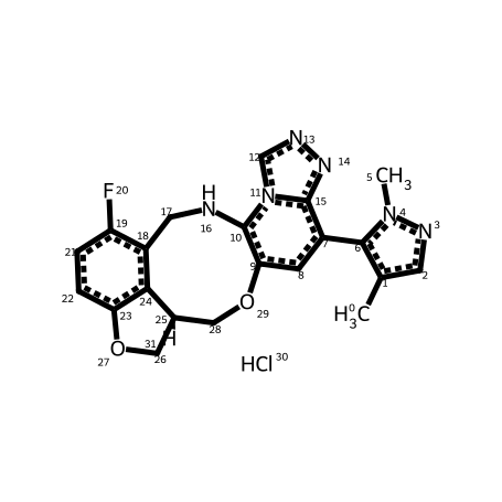 Cc1cnn(C)c1-c1cc2c(n3cnnc13)NCc1c(F)ccc3c1[C@@H](CO3)CO2.Cl